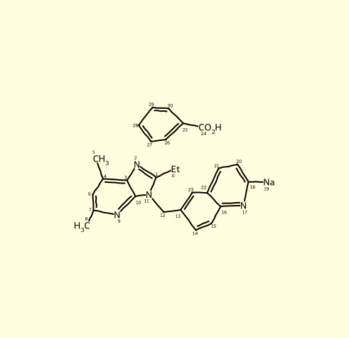 CCc1nc2c(C)cc(C)nc2n1Cc1ccc2n[c]([Na])ccc2c1.O=C(O)c1ccccc1